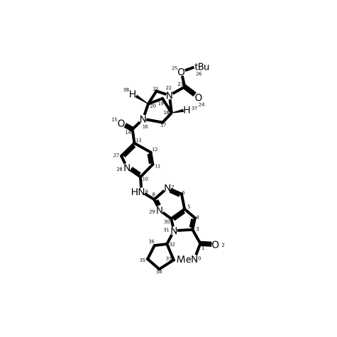 CNC(=O)c1cc2cnc(Nc3ccc(C(=O)N4C[C@@H]5C[C@H]4CN5C(=O)OC(C)(C)C)cn3)nc2n1C1CCCC1